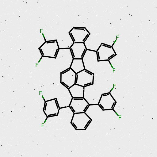 Fc1cc(F)cc(-c2c3c(c(-c4cc(F)cc(F)c4)c4ccccc24)-c2ccc4c5c(ccc-3c25)-c2c-4c(-c3cc(F)cc(F)c3)c3ccccc3c2-c2cc(F)cc(F)c2)c1